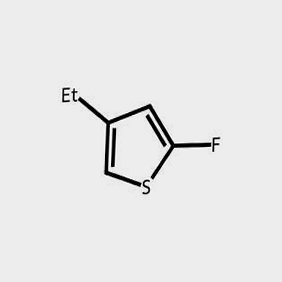 CCc1csc(F)c1